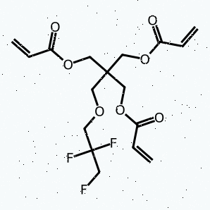 C=CC(=O)OCC(COCC(F)(F)CF)(COC(=O)C=C)COC(=O)C=C